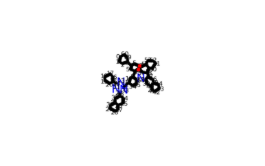 c1ccc(-c2cccc(-c3cc(-c4nc(-c5ccccc5)nc(-c5ccc6ccccc6c5)n4)ccc3-n3c4cc5ccccc5cc4c4c5ccccc5ccc43)c2)cc1